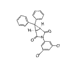 O=C1[C@@H]2[C@H](C(=O)N1c1cc(Cl)cc(Cl)c1)C2(c1ccccc1)c1ccccc1